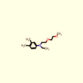 CCN(CCOCCOC)c1ccc(C)c(C)c1